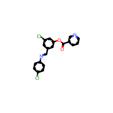 O=C(Oc1cc(Cl)cc(C=Nc2ccc(Cl)cc2)c1)c1cccnc1